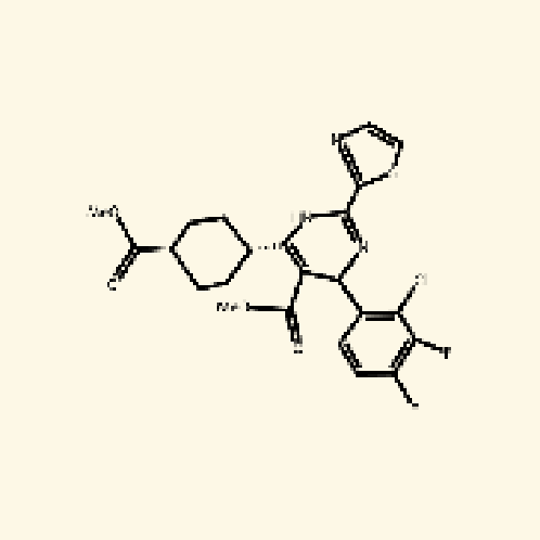 COC(=O)C1=C([C@H]2CC[C@H](C(=O)OC)CC2)NC(c2nccs2)=NC1c1ccc(F)c(F)c1Cl